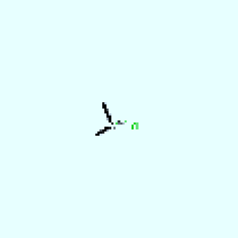 [CH3][Al+2][CH3].[Cl-].[Cl-]